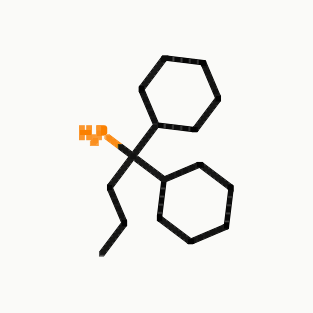 CCCC(P)(C1CCCCC1)C1CCCCC1